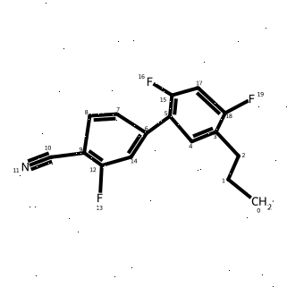 [CH2]CCc1cc(-c2ccc(C#N)c(F)c2)c(F)cc1F